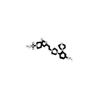 Cc1ccc(N2CCN(CCC3CC4(CCN(S(C)(=O)=O)CC4)C(=O)O3)CC2)c(N2CCOCC2)c1